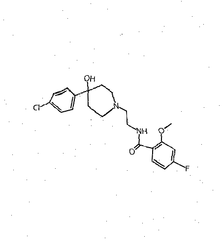 COc1cc(F)ccc1C(=O)NCCN1CCC(O)(c2ccc(Cl)cc2)CC1